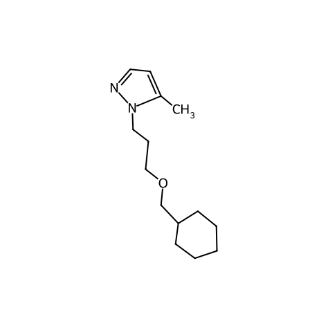 Cc1ccnn1CCCOCC1CCCCC1